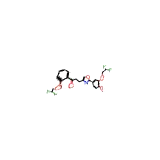 COc1ccc(-c2nc(CCC(=O)c3ccccc3OCC(F)F)co2)cc1OCC(F)F